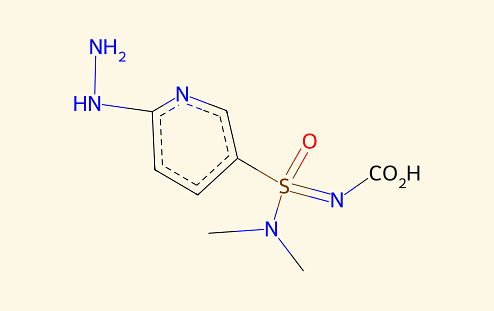 CN(C)S(=O)(=NC(=O)O)c1ccc(NN)nc1